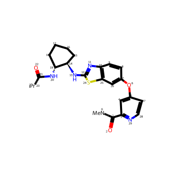 CNC(=O)c1cc(Oc2ccc3nc(N[C@@H]4CCCC[C@H]4NC(=O)C(C)C)sc3c2)ccn1